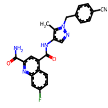 Cc1c(NC(=O)c2cc(C(N)=O)nc3cc(F)ccc23)cnn1Cc1ccc(C#N)cc1